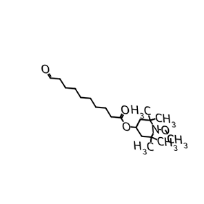 CON1C(C)(C)CC(OC(=O)CCCCCCCCC=O)CC1(C)C